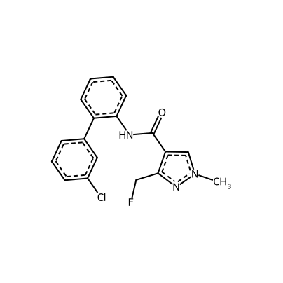 Cn1cc(C(=O)Nc2ccccc2-c2cccc(Cl)c2)c(CF)n1